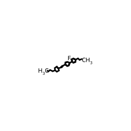 CCCCc1ccc(-c2ccc(C#CC3=CCC(CCCC)CC3)cc2)c(F)c1